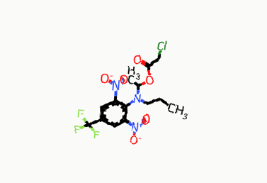 CCCN(c1c([N+](=O)[O-])cc(C(F)(F)F)cc1[N+](=O)[O-])C(C)OC(=O)CCl